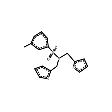 Cc1cccc(S(=O)(=O)N(Cc2cccs2)Cc2cccs2)c1